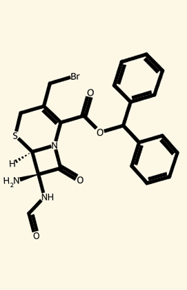 N[C@]1(NC=O)C(=O)N2C(C(=O)OC(c3ccccc3)c3ccccc3)=C(CBr)CS[C@@H]21